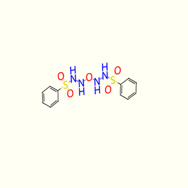 O=S(=O)(NNONNS(=O)(=O)c1ccccc1)c1ccccc1